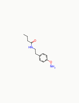 CCCC(=O)NCCc1ccc(ON)cc1